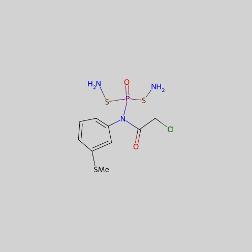 CSc1cccc(N(C(=O)CCl)P(=O)(SN)SN)c1